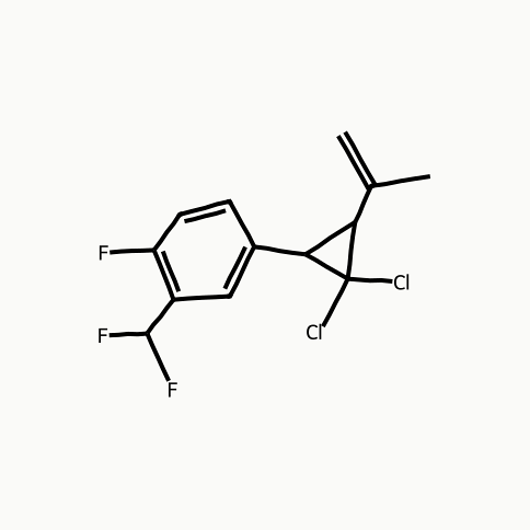 C=C(C)C1C(c2ccc(F)c(C(F)F)c2)C1(Cl)Cl